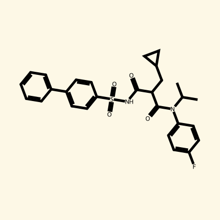 CC(C)N(C(=O)C(CC1CC1)C(=O)NS(=O)(=O)c1ccc(-c2ccccc2)cc1)c1ccc(F)cc1